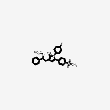 Cc1c(CC(OC(=O)O)c2ccccc2)cc(-c2ccc(S(C)(=O)=O)cc2)n1-c1ccc(F)cc1